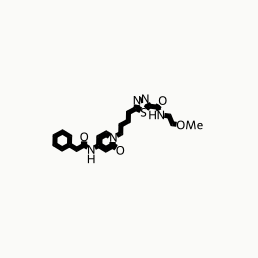 COCCNC(=O)c1nnc(CCCCn2ccc(NC(=O)CC3CCCCC3)cc2=O)s1